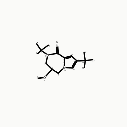 COC1CN(C(C)(C)C)C(=O)c2cc(C(C)(C)C)cn2C1